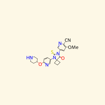 COc1cc(N2C(=O)C3(CCC3)N(c3ccc(OC4CCNCC4)nc3)C2=S)cnc1C#N